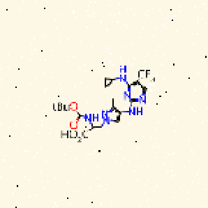 Cc1nn(C[C@H](NC(=O)OC(C)(C)C)C(=O)O)cc1Nc1ncc(C(F)(F)F)c(NC2CC2)n1